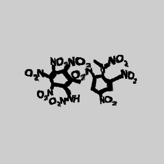 CN(c1c([N+](=O)[O-])cc([N+](=O)[O-])cc1[N+](=O)[O-])[N+](=O)[O-].Cc1c(N[N+](=O)[O-])c([N+](=O)[O-])c([N+](=O)[O-])c([N+](=O)[O-])c1[N+](=O)[O-]